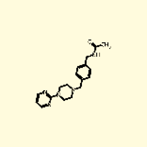 CC(=O)NCc1ccc(CN2CCN(c3ncccn3)CC2)cc1